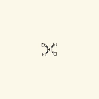 C[CH2][Hf]([Cl])([CH2]C)[CH2]C